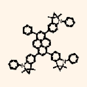 CC12CC1(C)N(c1ccccc1)c1ccc(-c3cc(-c4ccccc4)c4ccc5c(-c6ccc7c(c6)C6(C)CC6(C)N7c6ccccc6)cc(-c6ccc7c(c6)C6(C)CC6(C)N7c6ccccc6)c6ccc3c4c56)cc12